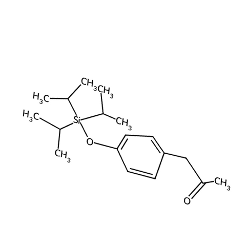 CC(=O)Cc1ccc(O[Si](C(C)C)(C(C)C)C(C)C)cc1